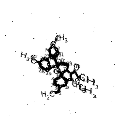 C=Cc1ccc2c3c(c(C(=O)C(C)OC)c(C)c2c1)C=CC(c1ccc(OC)cc1)(c1ccc(OC)cc1)O3